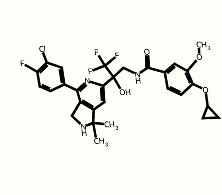 COc1cc(C(=O)NCC(O)(c2cc3c(c(-c4ccc(F)c(Cl)c4)n2)CNC3(C)C)C(F)(F)F)ccc1OC1CC1